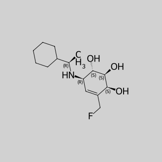 C[C@@H](N[C@@H]1C=C(CF)[C@H](O)[C@H](O)[C@H]1O)C1CCCCC1